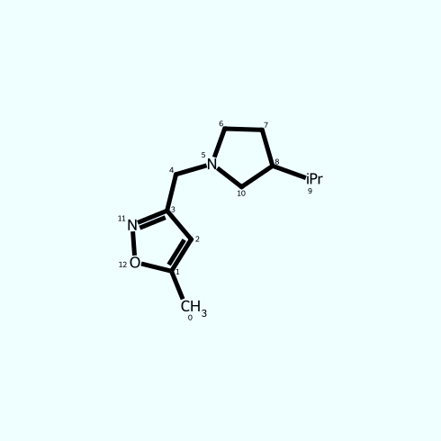 Cc1cc(CN2CCC(C(C)C)C2)no1